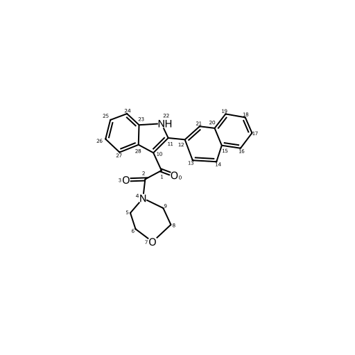 O=C(C(=O)N1CCOCC1)c1c(-c2ccc3ccccc3c2)[nH]c2ccccc12